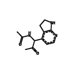 CC(=O)NC(C(C)=O)c1ccnc2c1CCN2